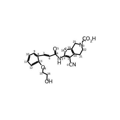 N#Cc1c(NC(=O)C=Cc2ccccc2OCCO)sc2c1CCN(C(=O)O)C2